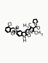 Cc1cccc(Cl)c1CS(=O)(=O)c1ccc2c(c1)/C(=C/c1[nH]c(C)c(C(=O)N3CCCC3)c1C)C(=O)N2